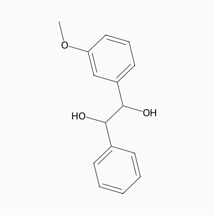 COc1cccc(C(O)C(O)c2ccccc2)c1